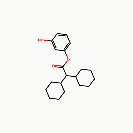 O=C(Oc1cccc(O)c1)C(C1CCCCC1)C1CCCCC1